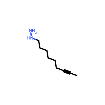 CC#CCCCCCCNN